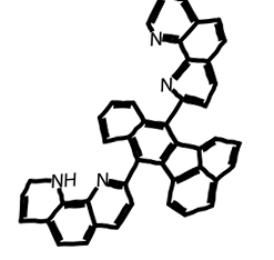 C1=Cc2ccc3ccc(-c4c5c(c(-c6ccc7ccc8cccnc8c7n6)c6ccccc46)-c4cccc6cccc-5c46)nc3c2NC1